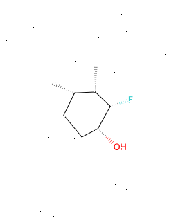 C[C@@H]1[C@H](F)[C@H](O)CC[C@@H]1C